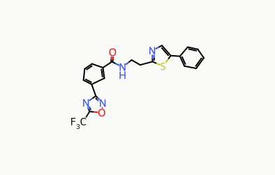 O=C(NCCc1ncc(-c2ccccc2)s1)c1cccc(-c2noc(C(F)(F)F)n2)c1